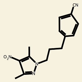 Cc1nn(CCCc2ccc(C#N)cc2)c(C)c1[N+](=O)[O-]